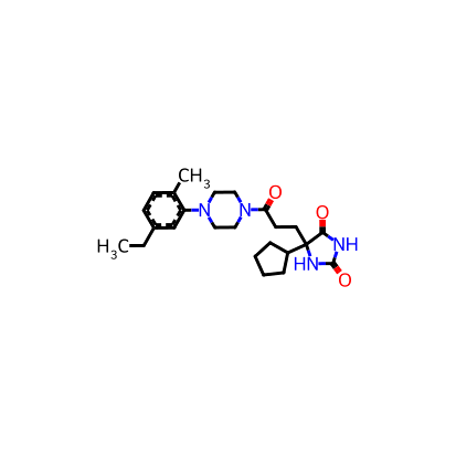 CCc1ccc(C)c(N2CCN(C(=O)CCC3(C4CCCC4)NC(=O)NC3=O)CC2)c1